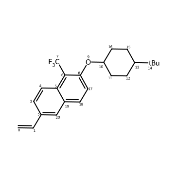 C=Cc1ccc2c(C(F)(F)F)c(OC3CCC(C(C)(C)C)CC3)ccc2c1